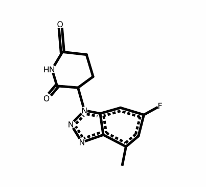 Cc1cc(F)cc2c1nnn2C1CCC(=O)NC1=O